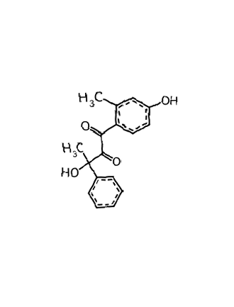 Cc1cc(O)ccc1C(=O)C(=O)C(C)(O)c1ccccc1